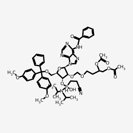 COc1ccc(C(OC[C@H]2O[C@@H](n3cnc4c(NC(=O)c5ccccc5)ncnc43)[C@H](OCOCCC(COC(C)=O)OC(C)=O)[C@@H]2O[PH](O)(CCC#N)N(C(C)C)C(C)C)(c2ccccc2)c2ccc(OC)cc2)cc1